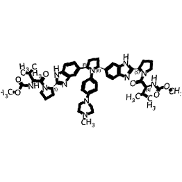 COC(=O)N[C@H](C(=O)N1CCC[C@H]1c1nc2cc([C@H]3CC[C@H](c4ccc5nc([C@@H]6CCCN6C(=O)[C@@H](NC(=O)OC)C(C)C)[nH]c5c4)N3c3ccc(N4CCN(C)CC4)cc3)ccc2[nH]1)C(C)C